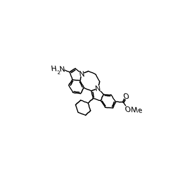 COC(=O)c1ccc2c(C3CCCCC3)c3n(c2c1)CCCn1cc(N)c2cccc-3c21